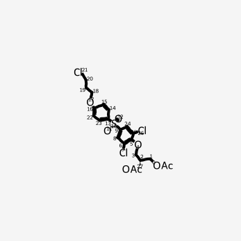 CC(=O)OC[C@@H](COc1c(Cl)cc(S(=O)(=O)c2ccc(OCCCCl)cc2)cc1Cl)OC(C)=O